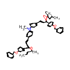 CCCC(C)OC(C=Cc1ccc(N(C)c2ccc(C=CC(OC(C)CCC)c3ccc(OCc4ccccc4)cc3)cc2)cc1)c1ccc(OCc2ccccc2)cc1